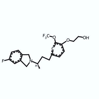 C[C@H](CCc1ccc(OCCO)c(OC(F)(F)F)c1)N1Cc2ccc(F)cc2C1